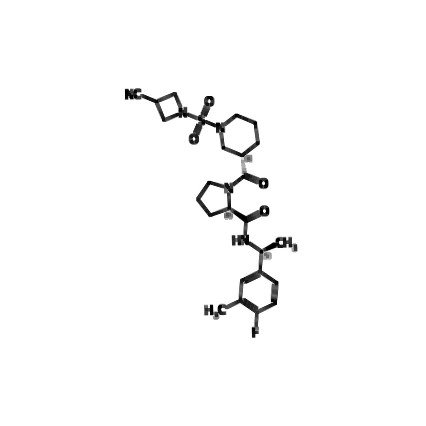 Cc1cc([C@H](C)NC(=O)[C@H]2CCCN2C(=O)[C@H]2CCCN(S(=O)(=O)N3CC(C#N)C3)C2)ccc1F